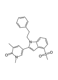 Cc1cc(-c2cc3c(S(C)(=O)=O)cccc3n2CCc2ccccc2)cn(C)c1=O